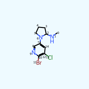 CNC1CCCN1c1cnc(Br)c(Cl)c1